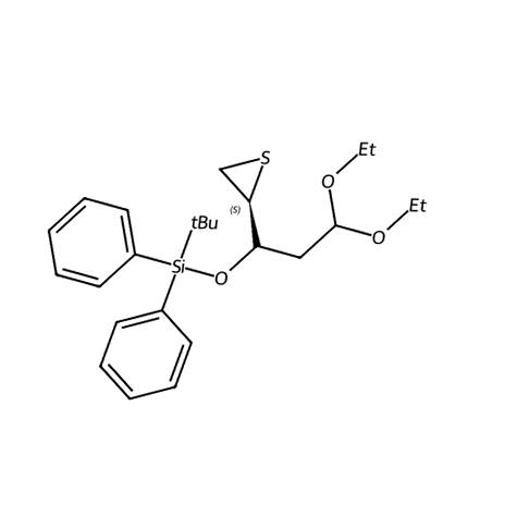 CCOC(CC(O[Si](c1ccccc1)(c1ccccc1)C(C)(C)C)[C@H]1CS1)OCC